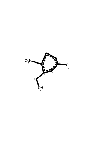 O=[N+]([O-])c1ccc(O)cc1CO